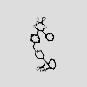 O=c1nc(-c2ccccc2)c(-c2ccc(CN3CCC(n4c(=O)[nH]c5ccccc54)CC3)cc2)n[nH]1